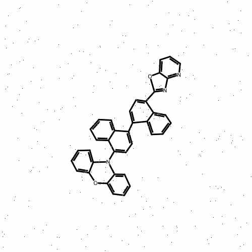 c1ccc2c(c1)Oc1ccccc1N2c1ccc(-c2ccc(-c3nc4ncccc4o3)c3ccccc23)c2ccccc12